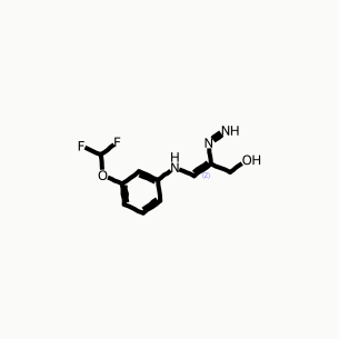 N=N/C(=C\Nc1cccc(OC(F)F)c1)CO